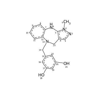 Cn1ncc2c1Nc1ccccc1N(Cc1cc(O)cc(O)c1)C2